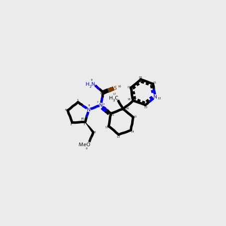 COC[C@H]1CCCN1[N+](C(N)=S)=C1CCCCC1(C)c1cccnc1